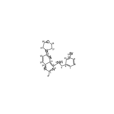 Cc1nc(NCc2cccc(Br)c2)c2nc(N3CCOCC3)ccc2n1